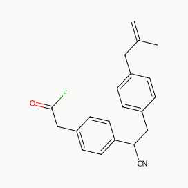 C=C(C)Cc1ccc(CC(C#N)c2ccc(CC(=O)F)cc2)cc1